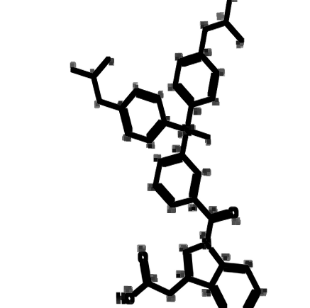 CC(C)Cc1ccc([N+](C)(c2ccc(CC(C)C)cc2)c2cccc(C(=O)n3cc(CC(=O)O)c4ccccc43)c2)cc1